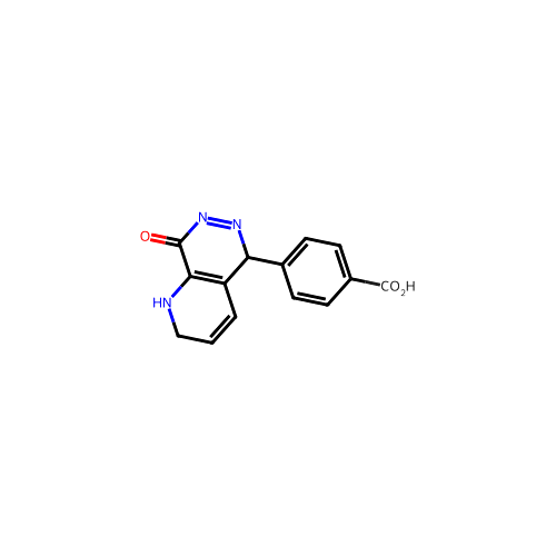 O=C1N=NC(c2ccc(C(=O)O)cc2)C2=C1NCC=C2